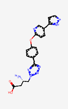 N[C@@H](CC(=O)O)Cn1nnc(-c2ccc(Oc3ccc(-c4ccn[nH]4)cn3)cc2)n1